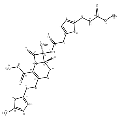 CO[C@@]1(NC(=O)Cc2ccc(CNC(=O)OC(C)(C)C)s2)C(=O)N2C(C(=O)OC(C)(C)C)=C(CSc3nnc(C)s3)CS[C@H]21